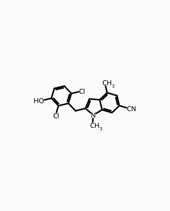 Cc1cc(C#N)cc2c1cc(Cc1c(Cl)ccc(O)c1Cl)n2C